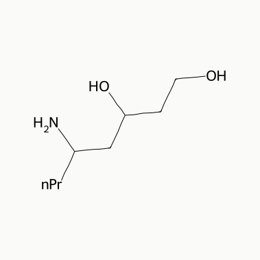 CCCC(N)CC(O)CCO